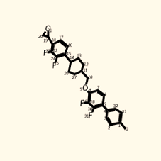 Cc1ccc(-c2ccc(OCC3CCC(c4ccc(C5CO5)c(F)c4F)CC3)c(F)c2F)cc1